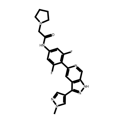 Cn1cc(-c2n[nH]c3cnc(-c4c(F)cc(NC(=O)CN5CCCC5)cc4F)cc23)cn1